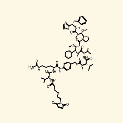 CO[C@H]([C@@H](C)C(=O)N[C@@H](Cc1ccccc1)c1nccs1)[C@@H]1CCCN1C(=O)C[C@@H](OC)[C@H](C1CCCCC1)N(C)C(=O)[C@@H](NC(=O)[C@H](C(C)C)N(C)C(=O)OCc1ccc(NC(=O)C(CCCNC(N)=O)NC(=O)[C@@H](NC(=O)CCCCCN2C(=O)C=CC2=O)C(C)C)cc1)C(C)C